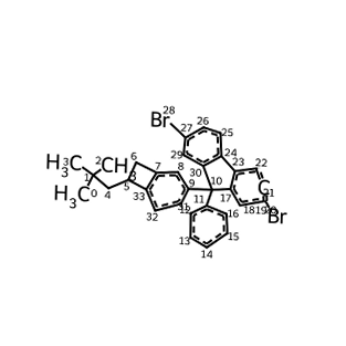 CC(C)(C)CC1Cc2cc(C3(c4ccccc4)c4cc(Br)ccc4-c4ccc(Br)cc43)ccc21